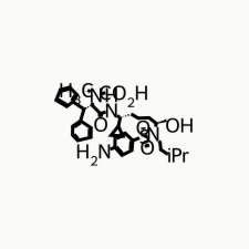 CC(C)CCN([C@H](CO)CCC[C@@H](NC(=O)[C@H](C(c1ccccc1)c1ccccc1)N(C)C(=O)O)C1CC1)S(=O)(=O)c1ccc(N)cc1